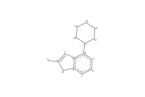 CC1=Cc2c(cccc2C2CCCCC2)C1